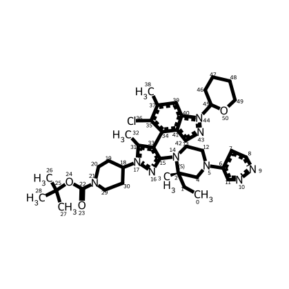 CC[C@@]1(C)CN(c2ccnnc2)CCN1c1nn(C2CCN(C(=O)OC(C)(C)C)CC2)c(C)c1-c1c(Cl)c(C)cc2c1cnn2C1CCCCO1